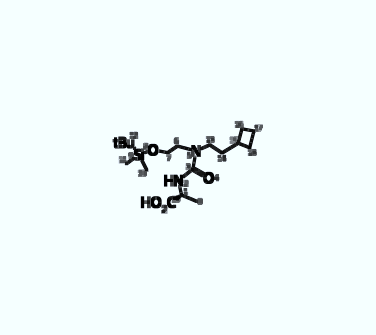 C[C@H](NC(=O)N(CCO[Si](C)(C)C(C)(C)C)CCC1CCC1)C(=O)O